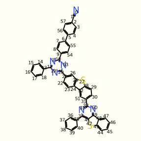 N#Cc1ccc(-c2ccc(-c3nc(-c4ccccc4)nc(-c4ccc5c(c4)sc4ccc(-c6nc(-c7ccccc7)c7sc8ccccc8c7n6)cc45)n3)cc2)cc1